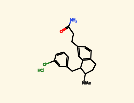 CNC1CCc2ccc(CCC(N)=O)cc2C1Cc1cccc(Cl)c1.Cl